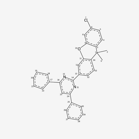 CC1(C)c2ccc(Cl)cc2Oc2cc(-c3nc(-c4ccccc4)cc(-c4ccccc4)n3)ccc21